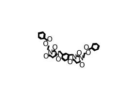 O=C(OCCN1C(=O)CC(=O)N(Cc2cccc(CN3C(=O)CC(=O)N(CCOC(=O)c4ccccc4)C3=O)c2)C1=O)c1ccccc1